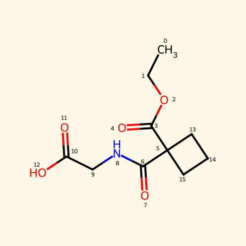 CCOC(=O)C1(C(=O)NCC(=O)O)CCC1